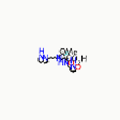 CO[C@H](CF)CN(CCCCc1ccc2c(n1)NCCC2)CC[C@H](NC(=O)Cc1cccc(=O)[nH]1)C(=O)O